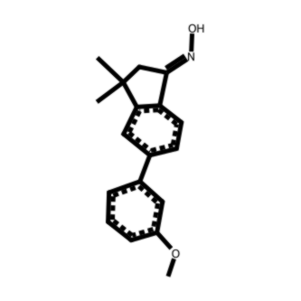 COc1cccc(-c2ccc3c(c2)C(C)(C)CC3=NO)c1